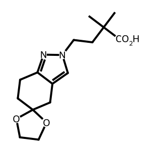 CC(C)(CCn1cc2c(n1)CCC1(C2)OCCO1)C(=O)O